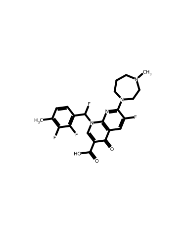 Cc1ccc(C(F)n2cc(C(=O)O)c(=O)c3cc(F)c(N4CCCN(C)CC4)nc32)c(F)c1F